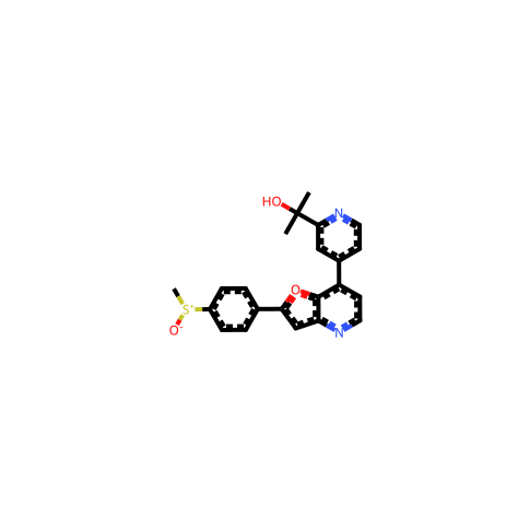 C[S+]([O-])c1ccc(-c2cc3nccc(-c4ccnc(C(C)(C)O)c4)c3o2)cc1